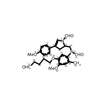 COc1ccc(C2=CN(C=O)C(CN(C=O)c3cc(OCCCCC=O)c(OC)cc3C)C2)cc1